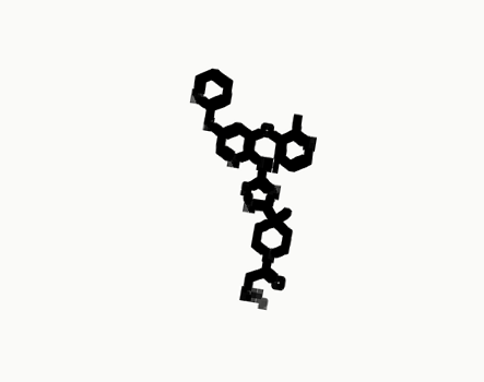 Cc1ncccc1Oc1cc(Sc2ccccn2)cnc1Nc1nc(C2(C)CCN(C(=O)CN)CC2)ns1